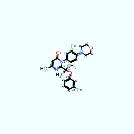 Cc1cc(=O)n(-c2ccc(N3CCOCC3)c(F)c2)c(C(C)(C)Oc2cccc(F)c2)n1